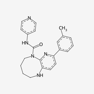 Cc1cccc(-c2ccc3c(n2)N(C(=O)Nc2ccncc2)CCCCN3)c1